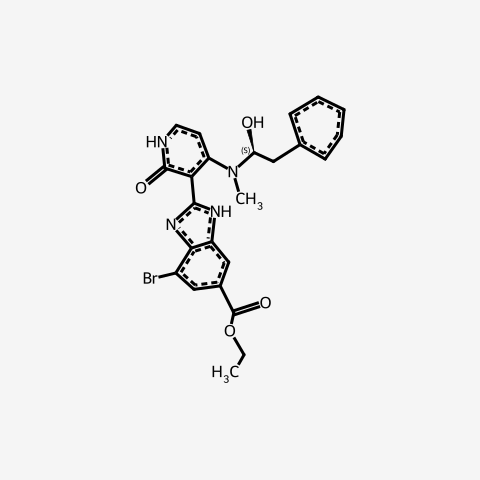 CCOC(=O)c1cc(Br)c2nc(-c3c(N(C)[C@@H](O)Cc4ccccc4)cc[nH]c3=O)[nH]c2c1